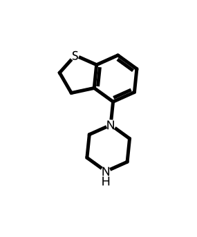 c1cc2c(c(N3CCNCC3)c1)CCS2